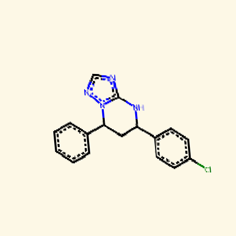 Clc1ccc(C2CC(c3ccccc3)n3ncnc3N2)cc1